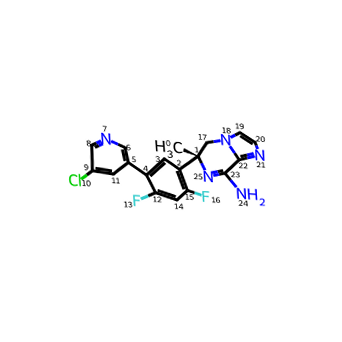 C[C@@]1(c2cc(-c3cncc(Cl)c3)c(F)cc2F)Cn2ccnc2C(N)=N1